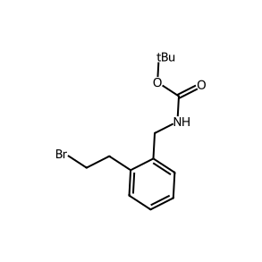 CC(C)(C)OC(=O)NCc1ccccc1CCBr